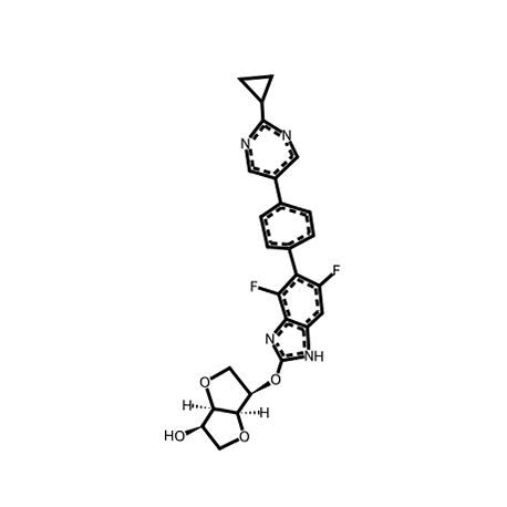 O[C@@H]1CO[C@H]2[C@@H]1OC[C@H]2Oc1nc2c(F)c(-c3ccc(-c4cnc(C5CC5)nc4)cc3)c(F)cc2[nH]1